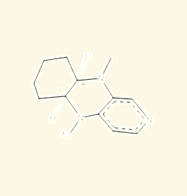 CC(=O)N1c2ccncc2N(C)[C@@H]2CCCC[C@@H]21